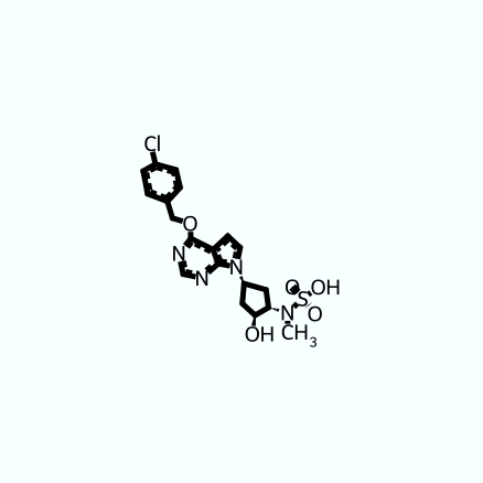 CN([C@H]1C[C@@H](n2ccc3c(OCc4ccc(Cl)cc4)ncnc32)C[C@@H]1O)S(=O)(=O)O